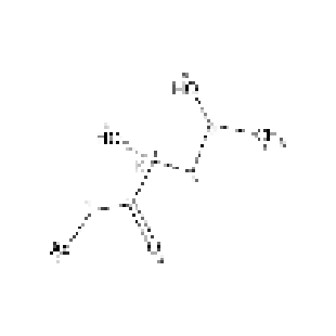 CC(=O)CC(=O)[C@H](O)CC(C)O